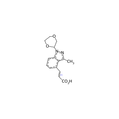 Cc1nn(C2COCCO2)c2cccc(/C=C/C(=O)O)c12